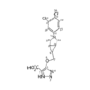 O=C(O)c1[nH]nnc1OCC1C2CN(c3ccc(Cl)c(Cl)c3)CC12